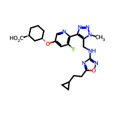 Cn1nnc(-c2ncc(O[C@H]3CCC[C@H](C(=O)O)C3)cc2F)c1CNc1noc(CCC2CC2)n1